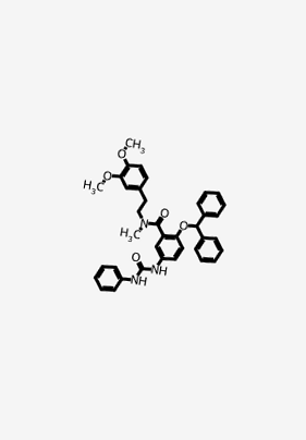 COc1ccc(CCN(C)C(=O)c2cc(NC(=O)Nc3ccccc3)ccc2OC(c2ccccc2)c2ccccc2)cc1OC